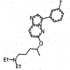 CCN(CC)CCCC(C)Oc1ccc2ncc(-c3cccc(F)c3)n2n1